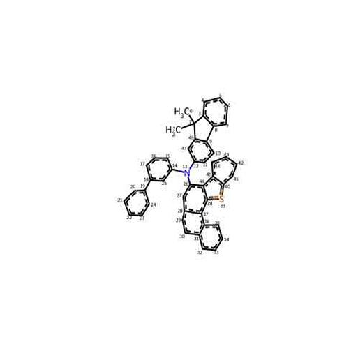 CC1(C)c2ccccc2-c2ccc(N(c3cccc(-c4ccccc4)c3)c3cc4ccc5ccccc5c4c4sc5ccccc5c34)cc21